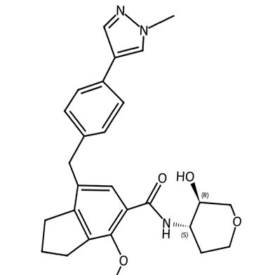 COc1c(C(=O)N[C@H]2CCOC[C@@H]2O)cc(Cc2ccc(-c3cnn(C)c3)cc2)c2c1CCC2